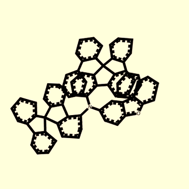 c1ccc(-c2ccccc2C2(c3ccccc3-c3ccccc3)c3ccccc3-c3c(N(c4ccc5oc6ccccc6c5c4)c4cccc5c4-c4ccccc4C54c5ccccc5-c5ccccc54)cccc32)cc1